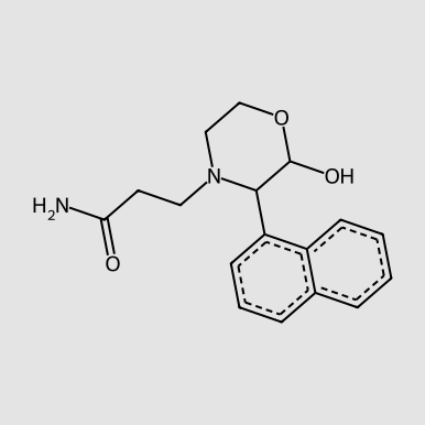 NC(=O)CCN1CCOC(O)C1c1cccc2ccccc12